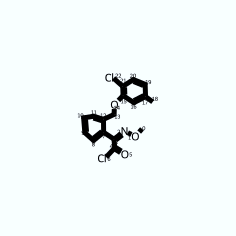 CON=C(C(=O)Cl)c1ccccc1COc1cc(C)ccc1Cl